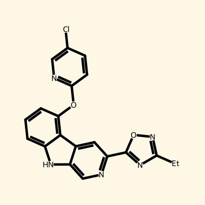 CCc1noc(-c2cc3c(cn2)[nH]c2cccc(Oc4ccc(Cl)cn4)c23)n1